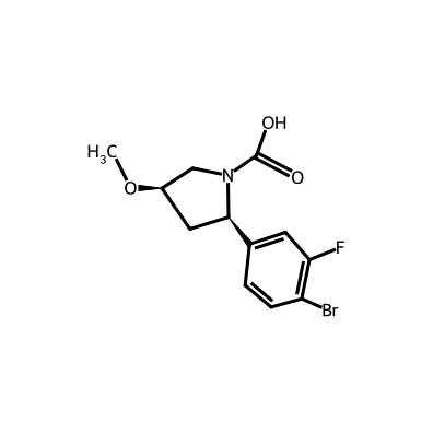 CO[C@@H]1C[C@H](c2ccc(Br)c(F)c2)N(C(=O)O)C1